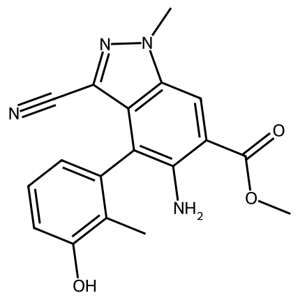 COC(=O)c1cc2c(c(C#N)nn2C)c(-c2cccc(O)c2C)c1N